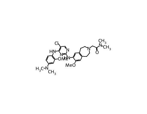 COc1cc2c(cc1Nc1ncc(Cl)c(Nc3ccc(N(C)C)cc3OC)n1)CCN(CC(=O)N(C)C)CC2